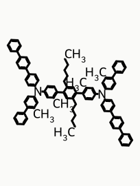 CCCCCCc1cc(-c2ccc(N(c3ccc(-c4ccc(-c5ccccc5)cc4)cc3)c3ccc(-c4ccccc4)c(C)c3)cc2C)c(CCCCCC)cc1-c1ccc(N(c2ccc(-c3ccc(-c4ccccc4)cc3)cc2)c2ccc(-c3ccccc3)c(C)c2)cc1C